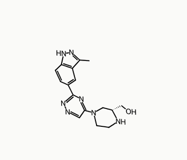 Cc1n[nH]c2ccc(-c3nncc(N4CCN[C@@H](CO)C4)n3)cc12